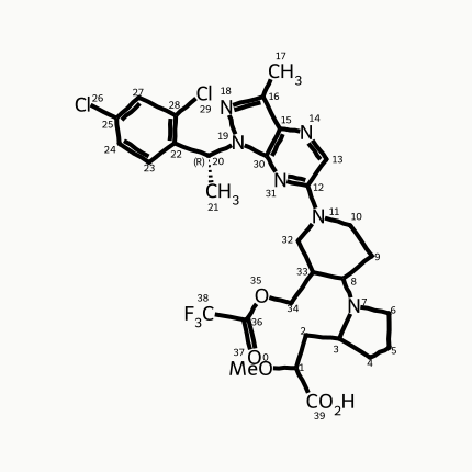 COC(CC1CCCN1C1CCN(c2cnc3c(C)nn([C@H](C)c4ccc(Cl)cc4Cl)c3n2)CC1COC(=O)C(F)(F)F)C(=O)O